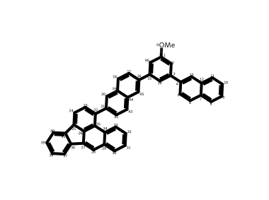 COc1cc(-c2ccc3ccccc3c2)cc(-c2ccc3cc(-c4ccc5c6c(cc7ccccc7c46)-c4ccccc4-5)ccc3c2)c1